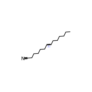 CCCCCC/C=C/CCCCCC#N